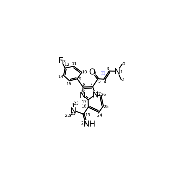 CN(C)/C=C/C(=O)c1c(-c2ccc(F)cc2)nc2c(C(=N)N(C)C)cccn12